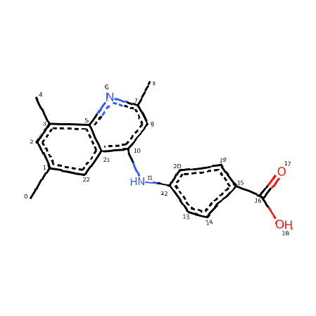 Cc1cc(C)c2nc(C)cc(Nc3ccc(C(=O)O)cc3)c2c1